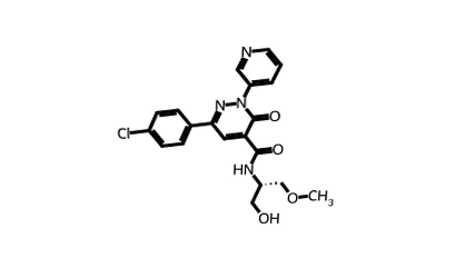 COC[C@H](CO)NC(=O)c1cc(-c2ccc(Cl)cc2)nn(-c2cccnc2)c1=O